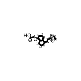 O=C(O)COc1cccc2c1CCC/C2=C/Cc1ncco1